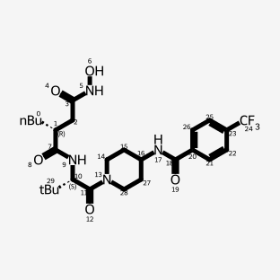 CCCC[C@H](CC(=O)NO)C(=O)N[C@H](C(=O)N1CCC(NC(=O)c2ccc(C(F)(F)F)cc2)CC1)C(C)(C)C